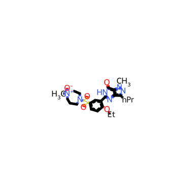 CCCc1nn(C)c2c(=O)[nH]c(-c3cc(S(=O)(=O)N4CCC[N+](C)([O-])CC4)ccc3OCC)nc12